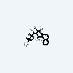 CCn1c(=O)c(C(=O)C(F)(F)C(F)(F)C(F)(F)F)c(O)c2c3ccccc3ccc21